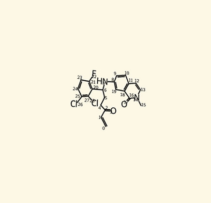 C=CC(=O)CCC(Nc1ccc2ccn(C)c(=O)c2c1)c1c(F)ccc(Cl)c1Cl